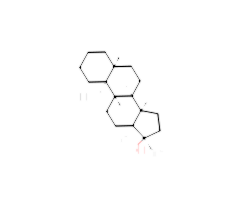 CC(C)[C@]1(O)CC[C@H]2[C@@H]3CC[C@H]4CCCC[C@]4(C)[C@H]3CC[C@@]21C